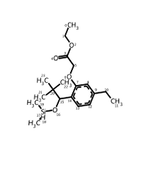 CCOC(=O)COc1cc(CC)ccc1C(O[SiH](C)C)C(C)(C)C